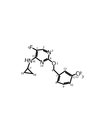 Fc1cnc(OCc2cccc(C(F)(F)F)c2)nc1NC1CC1